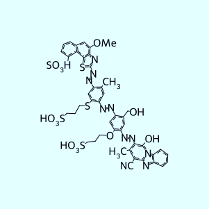 COc1cc2cccc(S(=O)(=O)O)c2c2sc(N=Nc3cc(SCCCS(=O)(=O)O)c(N=Nc4cc(OCCCS(=O)(=O)O)c(N=Nc5c(C)c(C#N)c6nc7ccccc7n6c5O)cc4CO)cc3C)nc12